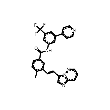 Cc1ccc(C(=O)Nc2cc(-c3ccncc3)cc(C(F)(F)F)c2)cc1C=Cc1cnc2cccnn12